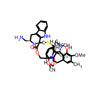 COc1c(C)cc2c(c1O)[C@H](N(C)C)[C@@H]1[C@@H]3SC[C@]4(N[C@@H](CN)Cc5c4[nH]c4ccccc54)C(=O)OC[C@@H](c4c5c(c(C)c(OC(C)=O)c43)OCO5)N1[C@@H](CC#N)C2